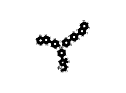 CC1(C)C(c2ccc(N(c3ccc(-c4ccc(-c5ccc6ccccc6c5)cc4)cc3)c3ccc(-c4ccc5ccccc5c4)cc3)cc2)=Cc2ncccc21